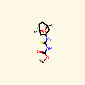 CC(C)(C)OC(=O)NC(=S)NC1C[C@H]2CC[C@@H](C1)O2